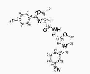 Cc1oc(-c2ccc(F)cc2)nc1CC(=O)NC[C@H]1CN(Cc2cccc(C#N)c2)CCO1